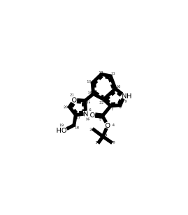 CC(C)(C)OC(=O)c1c[nH]c2cccc(-c3nc(CO)co3)c12